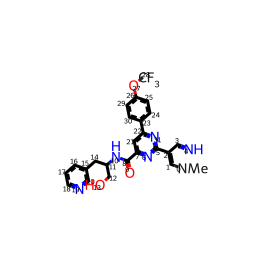 CN/C=C(\C=N)c1nc(C(=O)NC(CO)Cc2cccnc2)cc(-c2ccc(OC(F)(F)F)cc2)n1